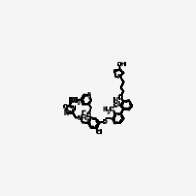 Cc1nc(CN(C)Cc2cc(Cl)c(OCc3cccc(-c4cccc(OCCCN5CCC(O)C5)c4C)c3C)cc2OCc2cncc(C#N)c2)no1